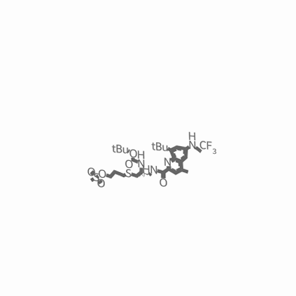 Cc1cc(C(=O)NC[C@H](CSCCCOS(C)(=O)=O)NC(=O)OC(C)(C)C)nc2c(C(C)(C)C)cc(NCC(F)(F)F)cc12